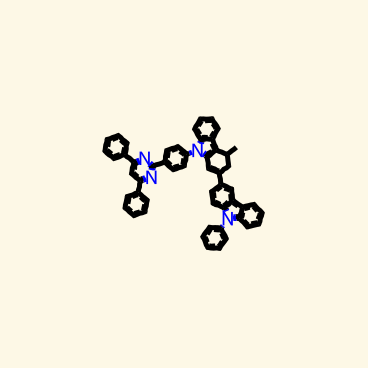 CC1CC(c2ccc3c(c2)c2ccccc2n3-c2ccccc2)=Cc2c1c1ccccc1n2-c1ccc(-c2nc(-c3ccccc3)cc(-c3ccccc3)n2)cc1